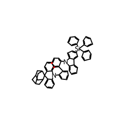 c1ccc([Si](c2ccccc2)(c2ccccc2)c2ccc3c(c2)c2ccccc2n3-c2ccccc2-c2ccccc2N2c3ccccc3C3(c4ccccc42)C2CC4CC(C2)CC3C4)cc1